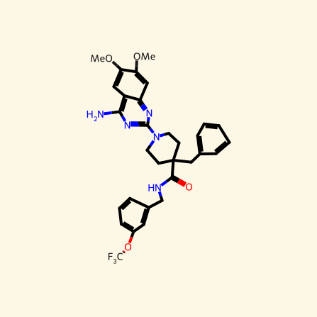 COc1cc2nc(N3CCC(Cc4ccccc4)(C(=O)NCc4cccc(OC(F)(F)F)c4)CC3)nc(N)c2cc1OC